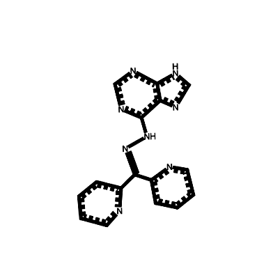 c1ccc(C(=NNc2ncnc3[nH]cnc23)c2ccccn2)nc1